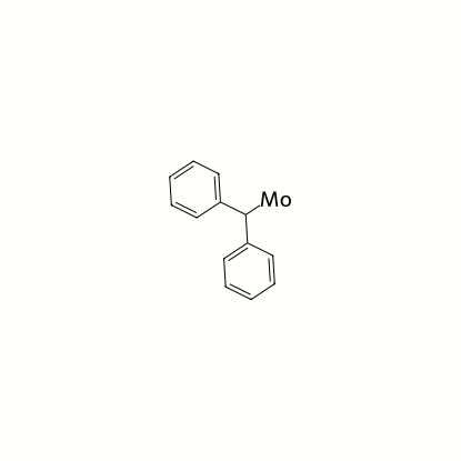 [Mo][CH](c1ccccc1)c1ccccc1